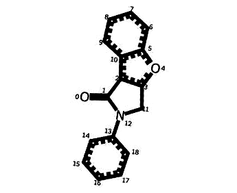 O=C1c2c(oc3ccccc23)CN1c1ccccc1